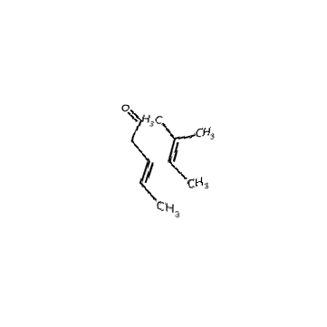 CC=C(C)C.CC=CCC=O